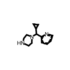 c1ccc(C(C2CC2)N2CCNCC2)nc1